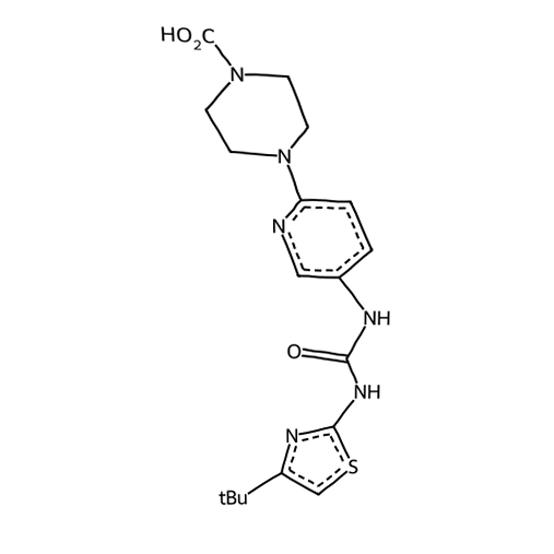 CC(C)(C)c1csc(NC(=O)Nc2ccc(N3CCN(C(=O)O)CC3)nc2)n1